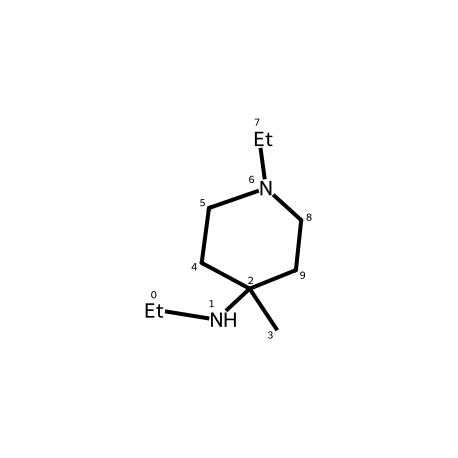 CCNC1(C)CCN(CC)CC1